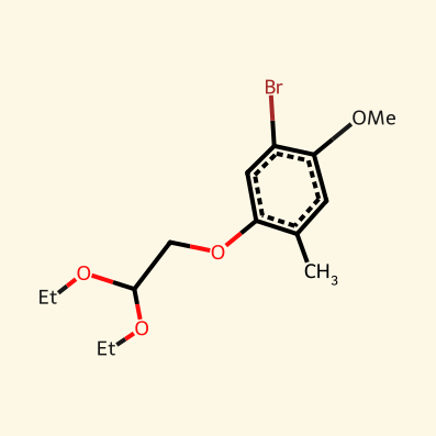 CCOC(COc1cc(Br)c(OC)cc1C)OCC